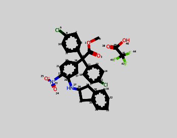 COC(=O)C(c1ccc(Cl)cc1)(c1ccc(Cl)cc1)c1ccc([N+](=O)[O-])c(NC2Cc3ccccc3C2)c1.O=C(O)C(F)(F)F